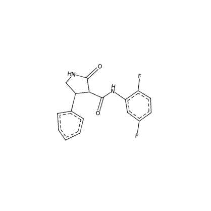 O=C1NCC(c2ccccc2)C1C(=O)Nc1cc(F)ccc1F